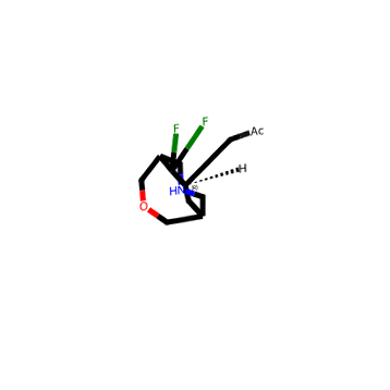 CC(=O)C[C@H]1CC2CNCC(COC2)C1(F)F